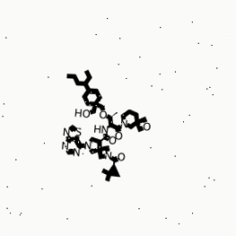 CCCC(CC)C1=CCC(CO)(CO[C@H](C)[C@H](NC(=O)[C@@H]2CN(c3ncnc4ncsc34)CC23CN(C(=O)[C@H]2CC2(C)C)C3)C(=O)N2CCCC3(COC3)C2)CC1